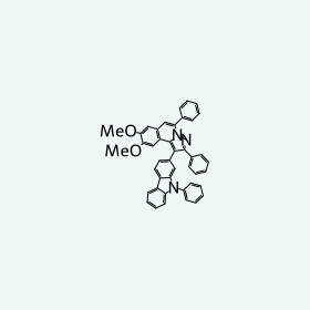 COc1cc2cc(-c3ccccc3)n3nc(-c4ccccc4)c(-c4ccc5c6ccccc6n(-c6ccccc6)c5c4)c3c2cc1OC